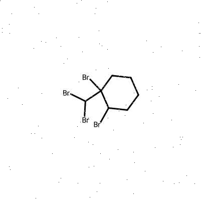 BrC(Br)C1(Br)CCCCC1Br